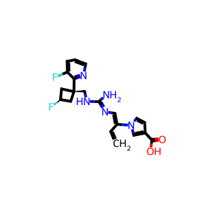 C=C/C(=C\N=C(/N)NC[C@]1(c2ncccc2F)C[C@H](F)C1)n1ccc(C(=O)O)c1